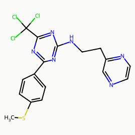 CSc1ccc(-c2nc(NCCc3cnccn3)nc(C(Cl)(Cl)Cl)n2)cc1